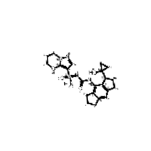 NS(=O)(=NC(=O)Nc1c2c(cc3c1C(C1(O)CC1)CC3)CCC2)c1cnn2c1OCCC2